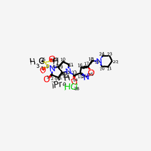 CC(C)[C@H]1C(=O)N(S(C)(=O)=O)[C@H]2CCN(C(=O)c3cc(CN4CCCCC4)on3)[C@H]12.Cl